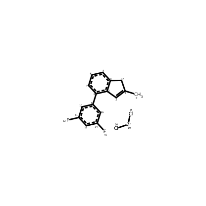 CC1=Cc2c(cccc2-c2cc(F)cc(F)c2)C1.[Cl][Zr][Cl]